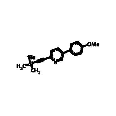 COc1ccc(-c2ccc(C#C[Si](C)(C)C(C)(C)C)nc2)cc1